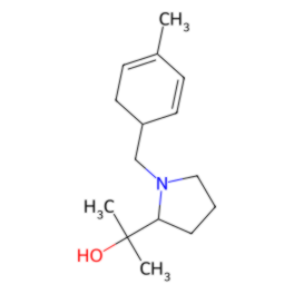 CC1=CCC(CN2CCCC2C(C)(C)O)C=C1